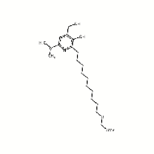 COCOCCCCCCCCCCc1nc(N(C)C)cc(CO)c1O